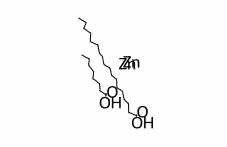 CCCCCCCC(=O)O.CCCCCCCCCCCCCCCCCC(=O)O.[Zn].[Zn]